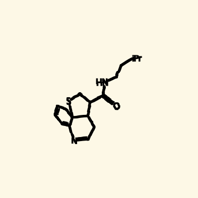 CC(C)CCNC(=O)C1CSC23CC=CC=C2N=CCC13